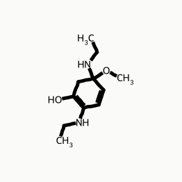 CCNC1=C(O)CC(NCC)(OC)C=C1